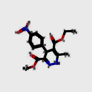 CCOC(=O)C1=C(C)NN=C(C(=O)OC)C1c1ccc([N+](=O)[O-])cc1